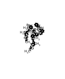 CCOC(=O)CN1CCC(C)(CCCOc2cccc(-c3ccc(N4CCc5cccc(C(=O)Nc6nc7ccccc7s6)c5C4)nc3C(=O)OC(C)(C)C)c2C)CC1.CCOC(=O)CN1CCC(C)(CCCOc2cccc(Br)c2C)CC1